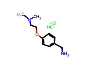 CN(C)CCOc1ccc(CN)cc1.Cl.Cl